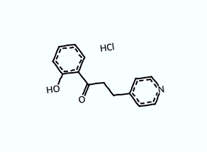 Cl.O=C(CCc1ccncc1)c1ccccc1O